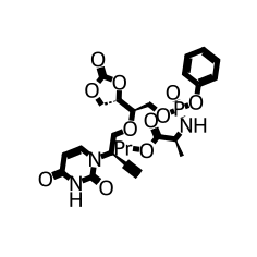 C#C[C@H](CO[C@H](COP(=O)(N[C@@H](C)C(=O)OC(C)C)Oc1ccccc1)[C@@H]1COC(=O)O1)n1ccc(=O)[nH]c1=O